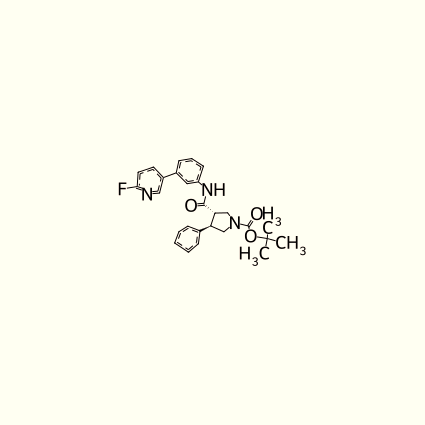 CC(C)(C)OC(=O)N1C[C@@H](C(=O)Nc2cccc(-c3ccc(F)nc3)c2)[C@H](c2ccccc2)C1